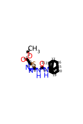 CCOC(=O)c1nnc(NC(=O)NC23CC4CC(CC(C4)C2)C3)s1